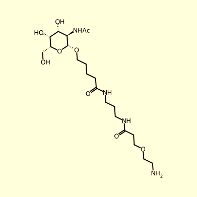 CC(=O)N[C@H]1[C@H](OCCCCC(=O)NCCCNC(=O)CCOCCN)O[C@H](CO)[C@H](O)[C@@H]1O